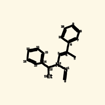 C=NN(/C=C(\C)c1ccccc1)C(CC)c1ccccc1